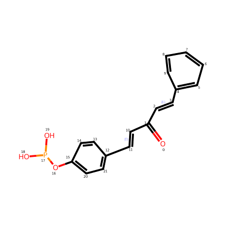 O=C(/C=C/c1ccccc1)/C=C/c1ccc(OP(O)O)cc1